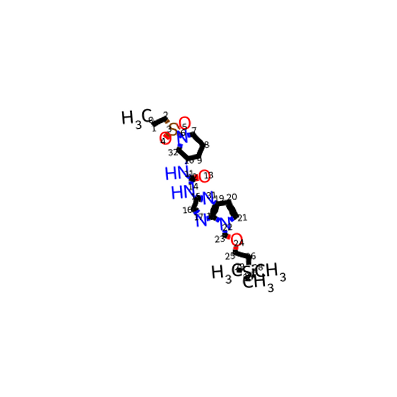 CCCS(=O)(=O)N1CCC[C@H](NC(=O)Nc2cnc3c(ccn3COCC[Si](C)(C)C)n2)C1